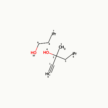 C#CC(C)(O)CC(C)C.CC(C)CCO